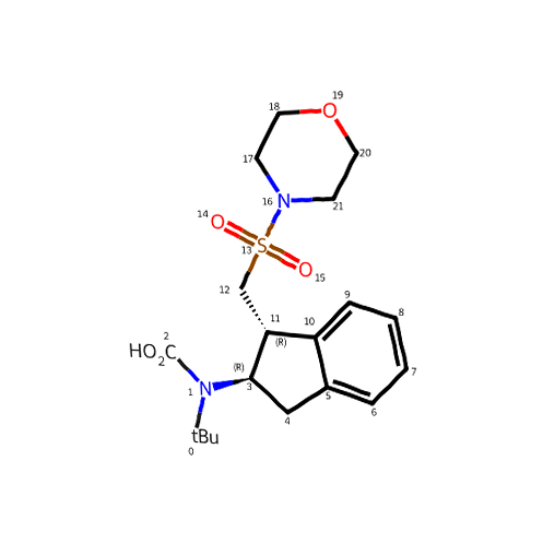 CC(C)(C)N(C(=O)O)[C@@H]1Cc2ccccc2[C@H]1CS(=O)(=O)N1CCOCC1